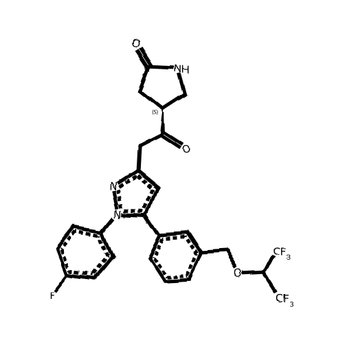 O=C1C[C@H](C(=O)Cc2cc(-c3cccc(COC(C(F)(F)F)C(F)(F)F)c3)n(-c3ccc(F)cc3)n2)CN1